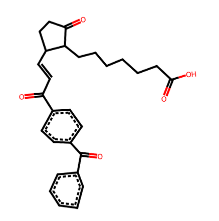 O=C(O)CCCCCCC1C(=O)CCC1/C=C/C(=O)c1ccc(C(=O)c2ccccc2)cc1